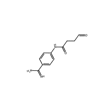 N=C(N)c1ccc(NC(=O)[CH]CC=O)cc1